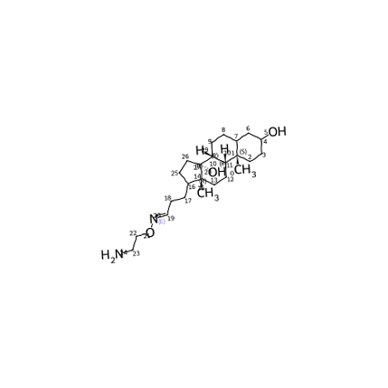 C[C@]12CCC(O)CC1CC[C@@H]1[C@H]2CC[C@]2(C)C(CC/C=N/OCCN)CC[C@@]12O